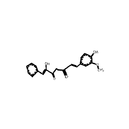 COc1cc(C=CC(=O)CC(=O)C(O)=Cc2ccccc2)ccc1O